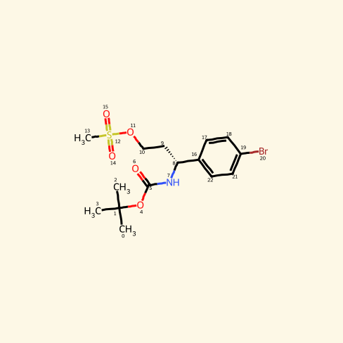 CC(C)(C)OC(=O)N[C@H](CCOS(C)(=O)=O)c1ccc(Br)cc1